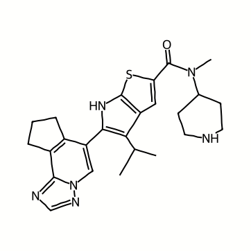 CC(C)c1c(-c2cn3ncnc3c3c2CCC3)[nH]c2sc(C(=O)N(C)C3CCNCC3)cc12